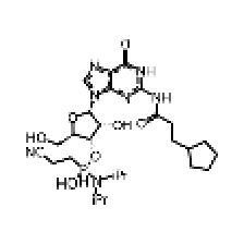 CC(C)N(C(C)C)[PH](O)(CCC#N)O[C@H]1[C@@H](O)[C@H](n2cnc3c(=O)[nH]c(NC(=O)CCC4CCCC4)nc32)O[C@@H]1CO